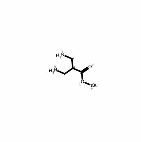 CC(C)(C)OC(=O)C(CN)CN